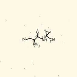 CC(C)CC(N)C(=O)NC1(C#N)CC1